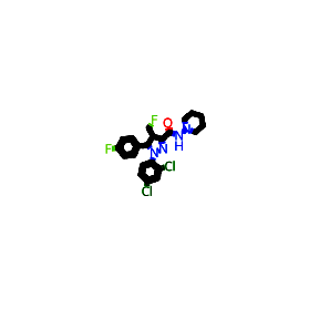 O=C(NN1CCCCC1)C1=NN(c2ccc(Cl)cc2Cl)C(c2ccc(F)cc2)C1CF